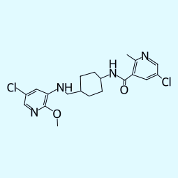 COc1ncc(Cl)cc1NCC1CCC(NC(=O)c2cc(Cl)cnc2C)CC1